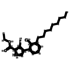 CCCCCCCCCc1cccc(-c2c[nH]c(C(=O)OCC)c2F)c1Cl